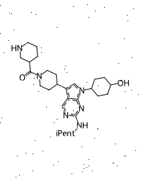 CCCC(C)Nc1ncc2c(C3CCN(C(=O)C4CCCNC4)CC3)cn(C3CCC(O)CC3)c2n1